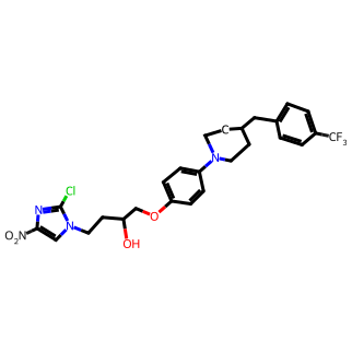 O=[N+]([O-])c1cn(CCC(O)COc2ccc(N3CCC(Cc4ccc(C(F)(F)F)cc4)CC3)cc2)c(Cl)n1